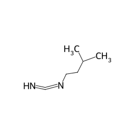 CC(C)CCN=C=N